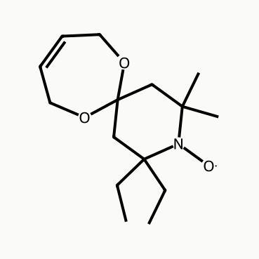 CCC1(CC)CC2(CC(C)(C)N1[O])OCC=CCO2